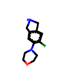 Fc1cc2c(cc1N1CCOCC1)CNC2